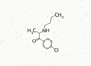 CCCCNC(C)C(=O)c1ccc(Cl)cc1